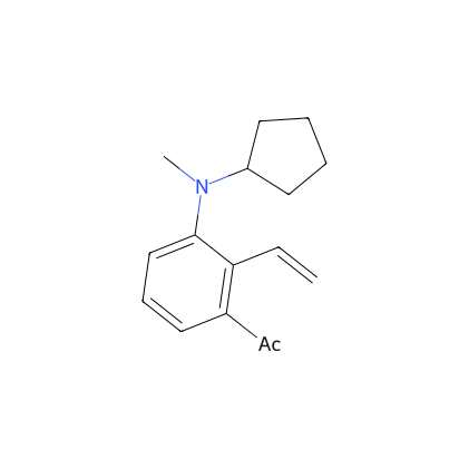 C=Cc1c(C(C)=O)cccc1N(C)C1CCCC1